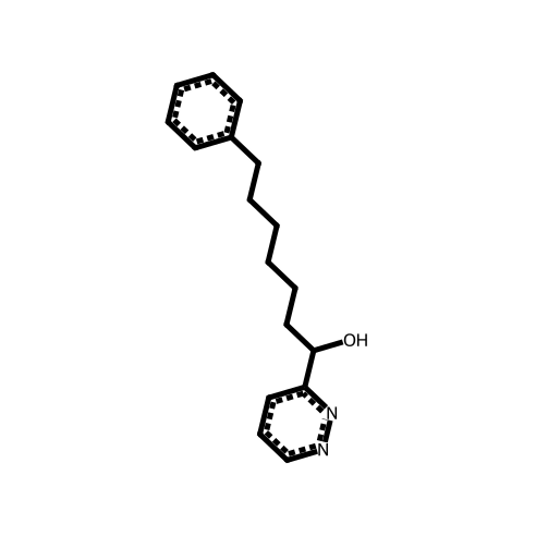 OC(CCCCCCc1ccccc1)c1cccnn1